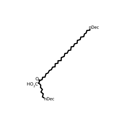 CCCCCCCCCCCCCCCCCCCCCCCCCCCCCCCCCCCCCCCCCC(=O)C(CCCCCCCCCCCCCCCC)C(=O)O